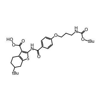 CC(C)(C)OC(=O)NCCCOc1ccc(C(=O)Nc2sc3c(c2C(=O)OO)CCC(C(C)(C)C)C3)cc1